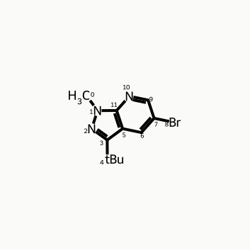 Cn1nc(C(C)(C)C)c2cc(Br)cnc21